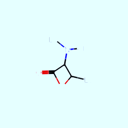 CCC1OC(=O)C1N(CC)CC